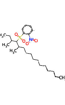 CCCCCCCCCCCC(C)C(C(C)CC)S(=O)(=O)c1ccc[c]c1[N+](=O)[O-]